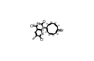 O=c1nc(Cl)c2cc(F)c(Cl)nc2n1-c1ccccc(Br)cccc1